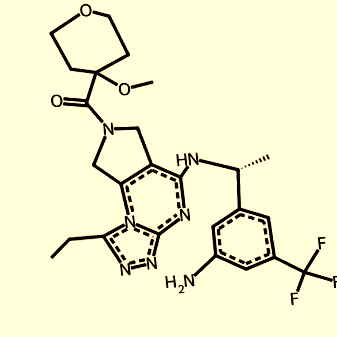 CCc1nnc2nc(N[C@H](C)c3cc(N)cc(C(F)(F)F)c3)c3c(n12)CN(C(=O)C1(OC)CCOCC1)C3